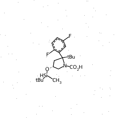 C[SiH](O[C@H]1CN(C(=O)O)C(c2cc(F)ccc2F)(C(C)(C)C)C1)C(C)(C)C